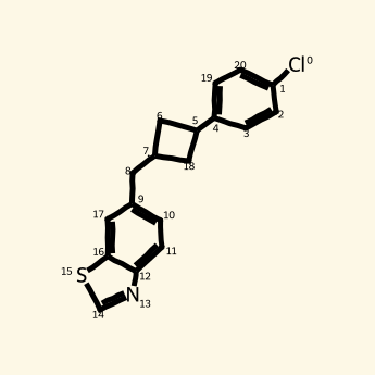 Clc1ccc(C2C[C](Cc3ccc4ncsc4c3)C2)cc1